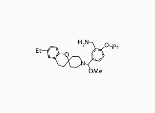 CCc1ccc2c(c1)CCC1(CCN(C(OC)c3ccc(OC(C)C)c(CN)c3)CC1)O2